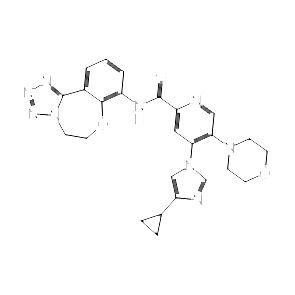 O=C(Nc1cccc2c1OCCn1nnnc1-2)c1cc(-n2cnc(C3CC3)c2)c(N2CCOCC2)cn1